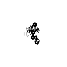 Nc1c(-c2cccc3c2cnn3C2CCCCO2)cc(-c2nccs2)c2nc(Oc3ccccc3)[nH]c(=O)c12